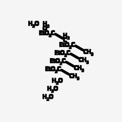 CCOC(C)=O.CCOC(C)=O.CCOC(C)=O.CCOC(C)=O.CCOC(C)=O.O.O.O.O.O